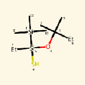 CCC(C)(C)O[Si](S)(CC)[Si](C)(C)C